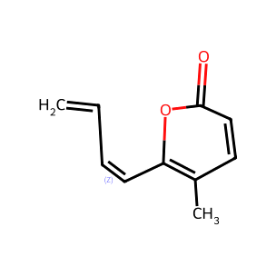 C=C/C=C\c1oc(=O)ccc1C